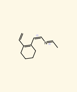 C=CC1=C(/C=C\N=C\C)CCCC1